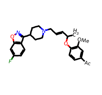 COc1cc(C(C)=O)ccc1OC(C)C=CCN1CCC(c2noc3cc(F)ccc23)CC1